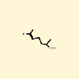 CC/C(C)=C/CCC(C)C=O